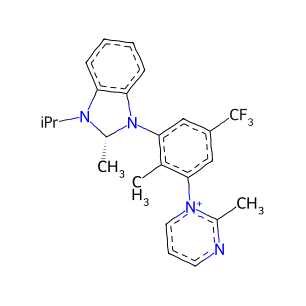 Cc1c(N2c3ccccc3N(C(C)C)[C@H]2C)cc(C(F)(F)F)cc1-[n+]1cccnc1C